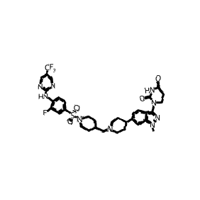 Cn1nc(N2CCC(=O)NC2=O)c2ccc(C3CCN(CC4CCN(S(=O)(=O)c5ccc(Nc6ncc(C(F)(F)F)cn6)c(F)c5)CC4)CC3)cc21